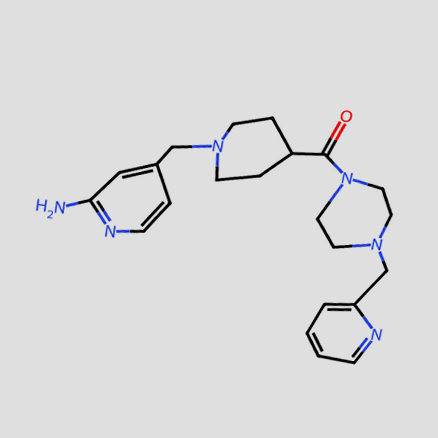 Nc1cc(CN2CCC(C(=O)N3CCN(Cc4ccccn4)CC3)CC2)ccn1